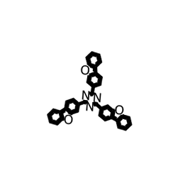 c1ccc2c(c1)oc1cc(-c3nc(-c4ccc5c(c4)oc4ccccc45)nc(-c4ccc5c(c4)oc4ccccc45)n3)ccc12